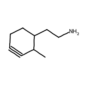 CC1C#CCCC1CCN